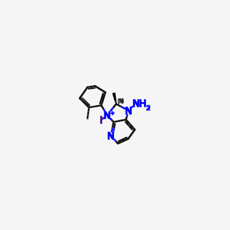 Cc1ccccc1[N+]1(I)c2ncccc2N(N)[C@@H]1C